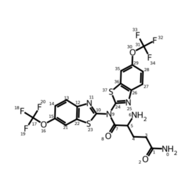 NC(=O)CCC(N)C(=O)N(c1nc2ccc(OC(F)(F)F)cc2s1)c1nc2ccc(OC(F)(F)F)cc2s1